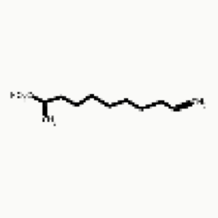 C=CCCCCCCCC(C)C(=O)O